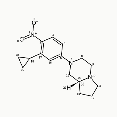 O=[N+]([O-])c1ccc(N2CCN3CCC[C@@H]3C2)cc1C1CC1